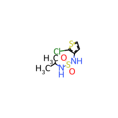 CC(C)NS(=O)(=O)Nc1ccsc1Cl